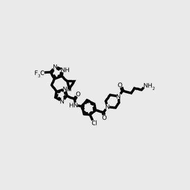 NCCCC(=O)N1CCN(C(=O)c2ccc(NC(=O)c3ncc(Cc4c(C(F)(F)F)n[nH]c4C4CC4)[nH]3)cc2Cl)CC1